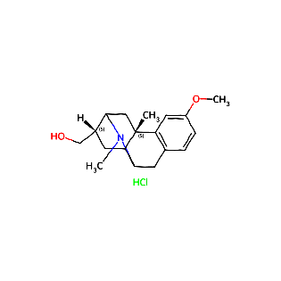 COc1ccc2c(c1)[C@@]1(C)CC3[C@@H](CO)CC1C(C2)N3C.Cl